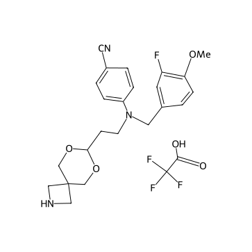 COc1ccc(CN(CCC2OCC3(CNC3)CO2)c2ccc(C#N)cc2)cc1F.O=C(O)C(F)(F)F